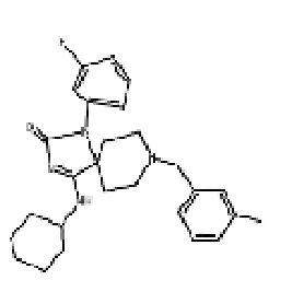 Cc1cccc(CN2CCC3(CC2)C(NC2CCCCC2)=NC(=O)N3c2cccc(F)c2)c1